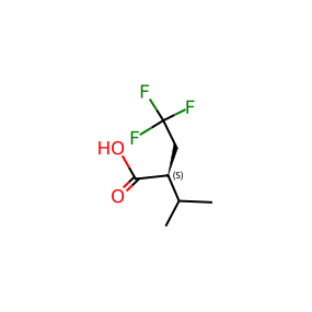 CC(C)[C@H](CC(F)(F)F)C(=O)O